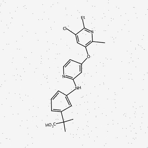 CCc1nc(C)c(Oc2ccnc(Nc3cccc(C(C)(C)C(=O)O)c3)c2)cc1Cl